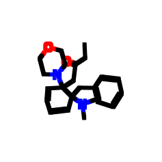 CCC(=O)CC1(N2CCOCC2)C=CC=CC1(Cc1ccccc1)N(C)C